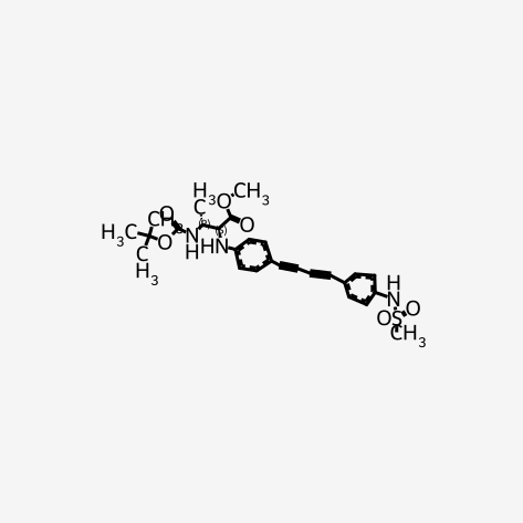 COC(=O)[C@@H](Nc1ccc(C#CC#Cc2ccc(NS(C)(=O)=O)cc2)cc1)[C@@H](C)NC(=O)OC(C)(C)C